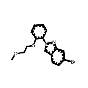 COCCOc1ccccc1-n1cc2ccc(Br)cc2n1